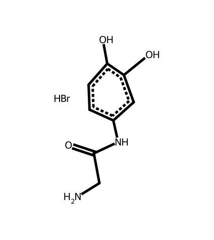 Br.NCC(=O)Nc1ccc(O)c(O)c1